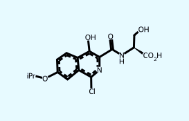 CC(C)Oc1ccc2c(O)c(C(=O)N[C@@H](CO)C(=O)O)nc(Cl)c2c1